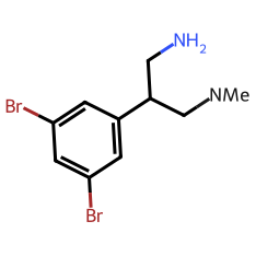 CNCC(CN)c1cc(Br)cc(Br)c1